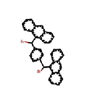 BrC(c1ccc(C(Br)c2c3ccccc3cc3ccccc23)cc1)c1c2ccccc2cc2ccccc12